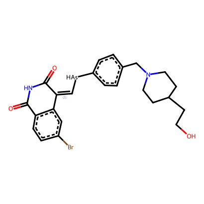 O=C1NC(=O)c2ccc(Br)cc2/C1=C/[AsH]c1ccc(CN2CCC(CCO)CC2)cc1